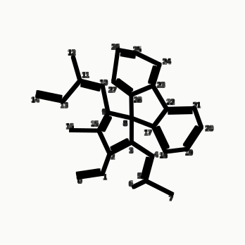 C=CC1=C(C=C(C)C)C2(C(/C=C(/C)C=C)=C1C)c1ccccc1-c1ccccc12